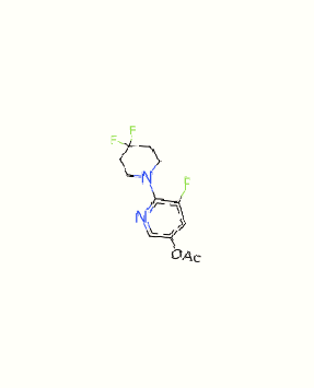 CC(=O)Oc1cnc(N2CCC(F)(F)CC2)c(F)c1